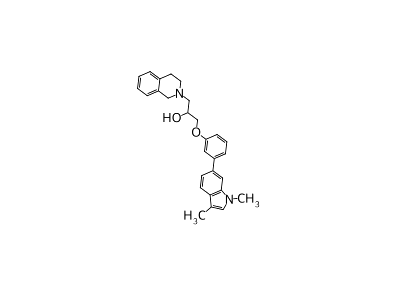 Cc1cn(C)c2cc(-c3cccc(OCC(O)CN4CCc5ccccc5C4)c3)ccc12